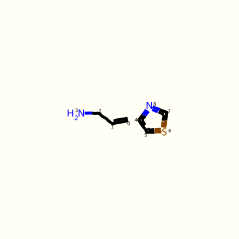 C=CCN.c1cscn1